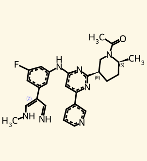 CN/C=C(\C=N)c1cc(F)cc(Nc2cc(-c3cccnc3)nc([C@@H]3CC[C@H](C)N(C(C)=O)C3)n2)c1